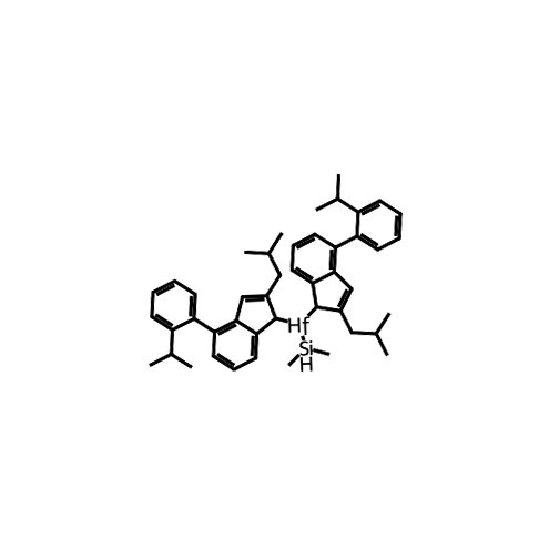 CC(C)CC1=Cc2c(-c3ccccc3C(C)C)cccc2[CH]1[Hf]([CH]1C(CC(C)C)=Cc2c(-c3ccccc3C(C)C)cccc21)[SiH](C)C